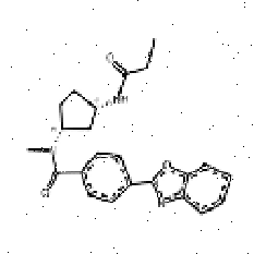 CCC(=O)N[C@H]1CC[C@@H](N(C)C(=O)c2ccc(-c3nc4ccccc4o3)cc2)C1